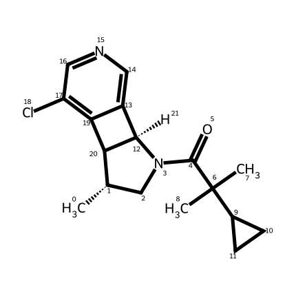 C[C@H]1CN(C(=O)C(C)(C)C2CC2)[C@@H]2c3cncc(Cl)c3C21